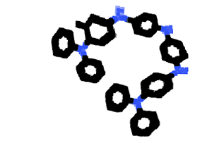 CC1C=C(Nc2ccc(Nc3ccc(Nc4ccc(N(c5ccccc5)c5ccccc5)cc4)cc3)cc2)C=CC1N(c1ccccc1)c1ccccc1